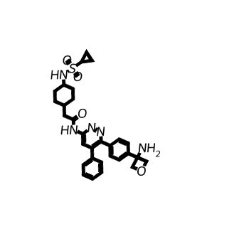 NC1(c2ccc(-c3nnc(NC(=O)CC4CCC(NS(=O)(=O)C5CC5)CC4)cc3-c3ccccc3)cc2)COC1